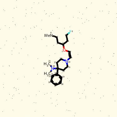 CNCCC(CCF)O/C=C\N1CCC(c2ccccc2)(N(C)C)CC1